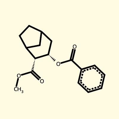 COC(=O)[C@@H]1C2CCC(C2)C[C@@H]1OC(=O)c1ccccc1